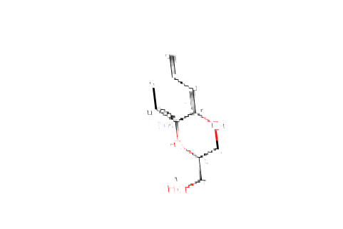 C=C/C=C1/OCC(CO)O/C1=C/C